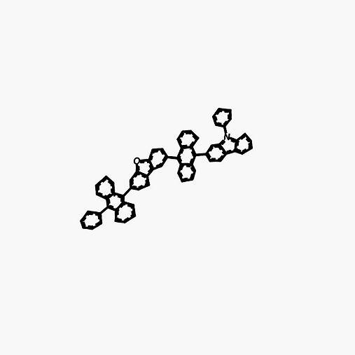 c1ccc(-c2c3ccccc3c(-c3ccc4c(c3)oc3ccc(-c5c6ccccc6c(-c6ccc7c8ccccc8n(-c8ccccc8)c7c6)c6ccccc56)cc34)c3ccccc23)cc1